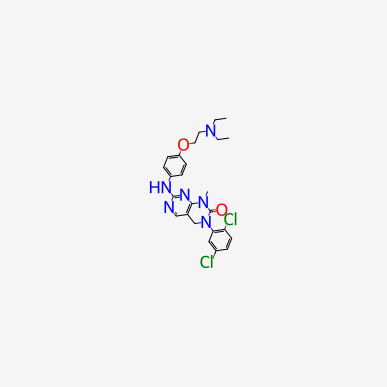 CCN(CC)CCOc1ccc(Nc2ncc3c(n2)N(C)C(=O)N(c2cc(Cl)ccc2Cl)C3)cc1